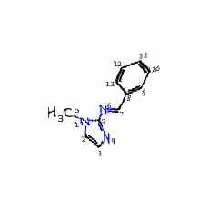 Cn1ccnc1N=Cc1ccccc1